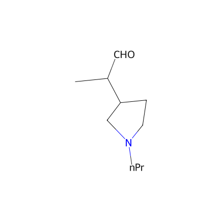 CCCN1CCC(C(C)C=O)C1